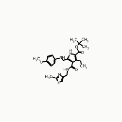 CCc1c(C(=O)OC(C)(C)C)[nH]c(CNc2ccc(OC)cc2)c1C(=O)NCc1csc(C)n1